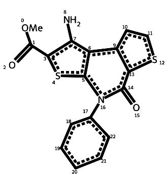 COC(=O)c1sc2c(c1N)c1ccsc1c(=O)n2-c1ccccc1